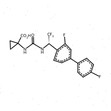 O=C(N[C@@H](c1ccc(-c2ccc(F)cc2)cc1F)C(F)(F)F)NC1(C(=O)O)CC1